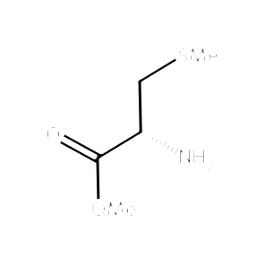 COC(=O)[C@@H](N)CSC